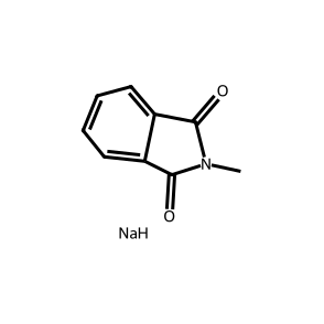 CN1C(=O)c2ccccc2C1=O.[NaH]